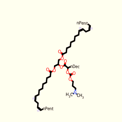 CCCCC/C=C\C/C=C\CCCCCCCC(=O)OCC(COC(=O)CCCCCCC/C=C\C/C=C\CCCCC)OC(=O)C(CCCCCCCCCC)OC(=O)OCCCN(C)C